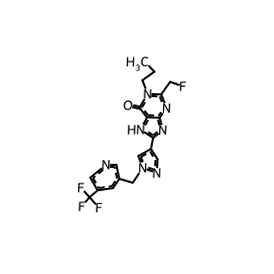 CCCn1c(CF)nc2nc(-c3cnn(Cc4cncc(C(F)(F)F)c4)c3)[nH]c2c1=O